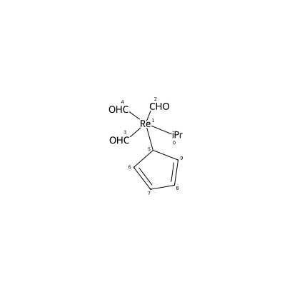 C[CH](C)[Re]([CH]=O)([CH]=O)([CH]=O)[CH]1C=CC=C1